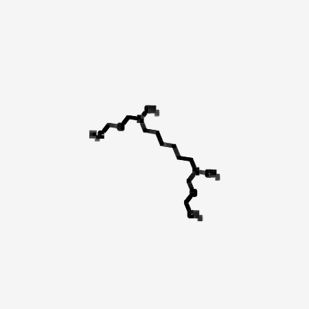 CCOCN(C)CCCCCCN(C)COCC